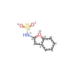 O=[SH](=O)Nc1cc2ccccc2o1